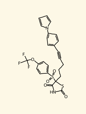 O=C1NC(=O)C(CCCC#Cc2ccc(-n3cccc3)cc2)(S(=O)(=O)c2ccc(OC(F)(F)F)cc2)S1